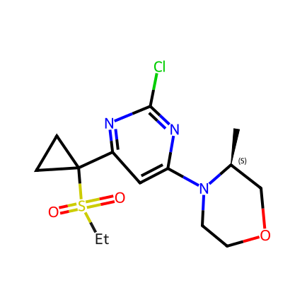 CCS(=O)(=O)C1(c2cc(N3CCOC[C@@H]3C)nc(Cl)n2)CC1